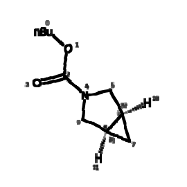 CCCCOC(=O)N1C[C@H]2C[C@H]2C1